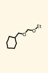 CCOCOCC1CCCCC1